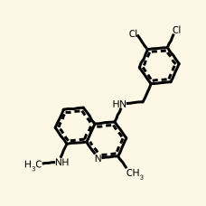 CNc1cccc2c(NCc3ccc(Cl)c(Cl)c3)cc(C)nc12